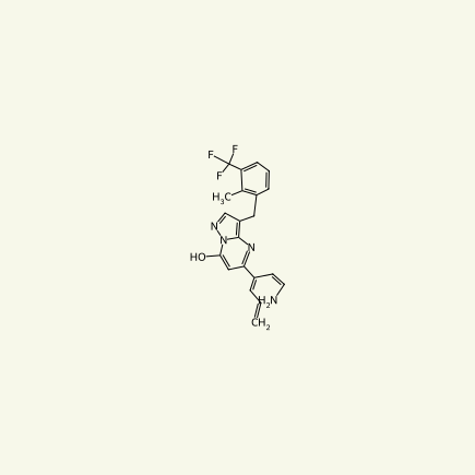 C=C/C=C(\C=C/N)c1cc(O)n2ncc(Cc3cccc(C(F)(F)F)c3C)c2n1